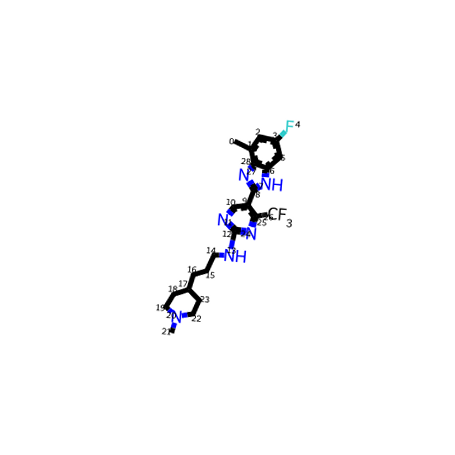 Cc1cc(F)cc2[nH]c(-c3cnc(NCCCC4CCN(C)CC4)nc3C(F)(F)F)nc12